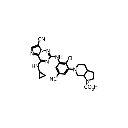 N#Cc1cc(Nc2nc(NC3CC3)c3ncc(C#N)n3n2)c(Cl)c(N2CCC3CCN(C(=O)O)C3C2)c1